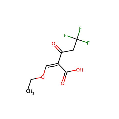 CCOC=C(C(=O)O)C(=O)CC(F)(F)F